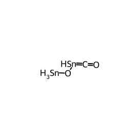 O=[C]=[SnH][O][SnH3]